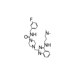 CN(C)CCCNc1nc(CN2CCN(C(=O)NCc3cccc(F)c3)CC2)nc2ccccc12